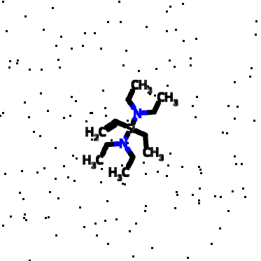 C=C[Si](CC)(N(CC)CC)N(CC)CC